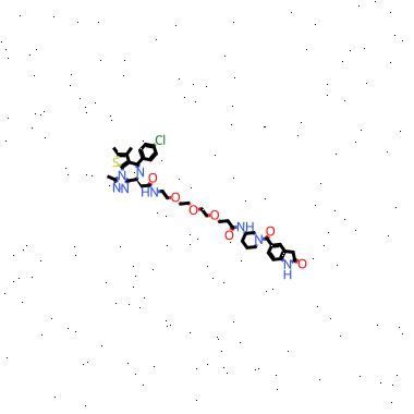 Cc1sc2c(c1C)C(c1ccc(Cl)cc1)=N[C@@H](CC(=O)NCCOCCOCCOCCC(=O)NC1CCCN(C(=O)c3ccc4c(c3)CC(=O)N4)C1)c1nnc(C)n1-2